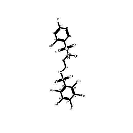 O=S(=O)(OCC[NH+]([O-])S(=O)(=O)c1ccc(F)cc1F)c1c(F)c(F)c(F)c(F)c1F